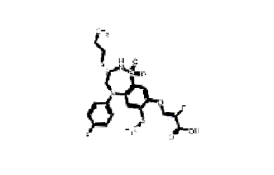 CCCC[C@H]1CN(c2ccc(F)cc2)c2cc(SC)c(O/C=C(\F)C(=O)O)cc2S(=O)(=O)N1